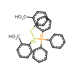 O=C(O)c1ccccc1S[SH](c1ccccc1C(=O)O)[PH](c1ccccc1)(c1ccccc1)c1ccccc1